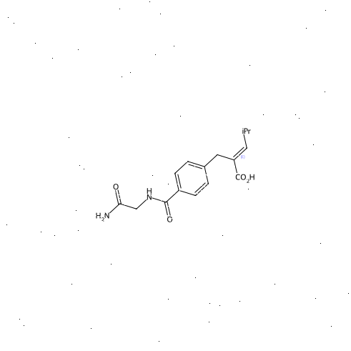 CC(C)/C=C(\Cc1ccc(C(=O)NCC(N)=O)cc1)C(=O)O